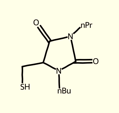 CCCCN1C(=O)N(CCC)C(=O)C1CS